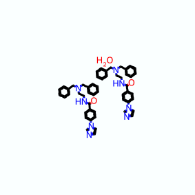 O.O=C(NCCN(Cc1ccccc1)Cc1ccccc1)c1ccc(-n2ccnc2)cc1.O=C(NCCN(Cc1ccccc1)Cc1ccccc1)c1ccc(-n2ccnc2)cc1